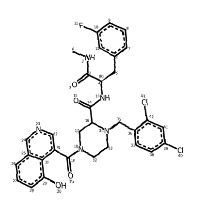 CNC(=O)[C@@H](Cc1cccc(F)c1)NC(=O)C1CN(C(=O)c2cncc3cccc(O)c23)CCN1Cc1ccc(Cl)cc1Cl